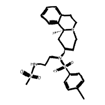 Cc1ccc(S(=O)(=O)N(CCNS(C)(=O)=O)[C@@H]2CCN3CCc4ccccc4[C@@H]3C2)cc1